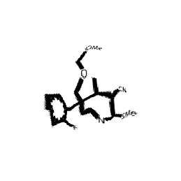 COCOCC1(c2ccccc2F)C=NC(SC)=C(C#N)C1C